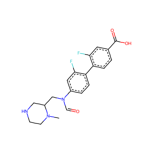 CN1CCNCC1CN(C=O)c1ccc(-c2ccc(C(=O)O)cc2F)c(F)c1